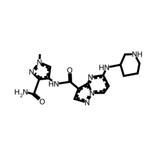 Cn1cc(NC(=O)c2cnn3ccc(NC4CCCNC4)nc23)c(C(N)=O)n1